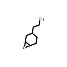 OCCC1CCC2OC2C1